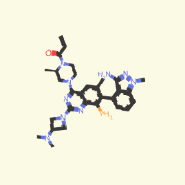 C=CC(=O)N1CCN(c2nc(N3CC(N(C)C)C3)nc3c(P)c(-c4cccc5c4c(N)nn5C)c(C)cc23)C[C@H]1C